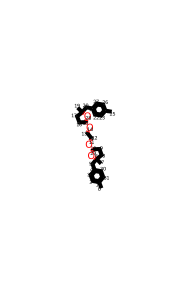 Cc1ccc(CC2(C)CCC(OCCOC3CCC(C)(Cc4ccc(C)cc4)O3)O2)cc1